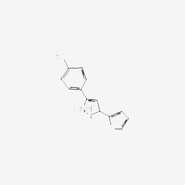 Brc1ccc(C2=CC(c3cccs3)NN2)cc1